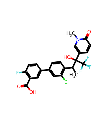 CC(c1ccc(-c2ccc(F)c(C(=O)O)c2)cc1Cl)C(O)(c1ccc(=O)n(C)c1)C(F)(F)F